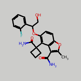 Cc1oc2ccc(OC(CO)c3ccccc3F)c(C3(C(N)=O)CCC3)c2c1C(N)=O